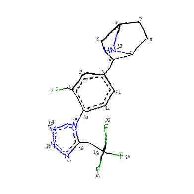 Fc1cc(C2CC3CCC2N3)ccc1-n1nnnc1C(F)(F)F